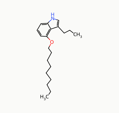 CCCCCCCCCOc1cccc2[nH]cc(CCC)c12